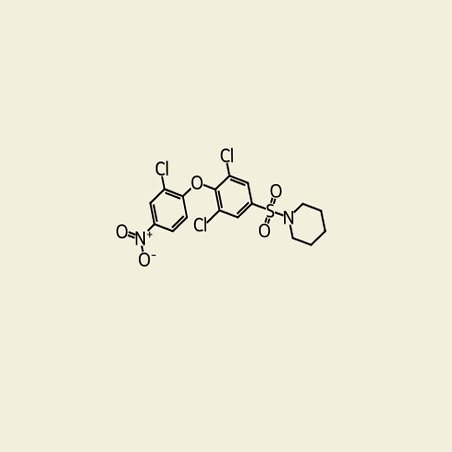 O=[N+]([O-])c1ccc(Oc2c(Cl)cc(S(=O)(=O)N3CCCCC3)cc2Cl)c(Cl)c1